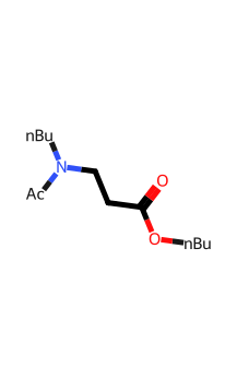 CCCCOC(=O)CCN(CCCC)C(C)=O